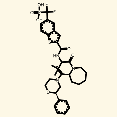 CC(C)(C)C(NC(=O)c1cc2cc(C(F)(F)P(=O)(O)O)ccc2s1)C(=O)N1CCCCC[C@H]1C(=O)N1CCO[C@H](c2ccccc2)C1